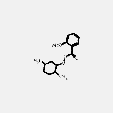 COc1ccccc1C(=O)OO[C]1CC(C)CCC1C